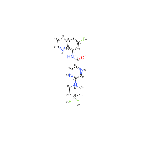 O=C(Nc1cc(F)cc2cccnc12)c1cnc(N2CCC(F)(F)CC2)cn1